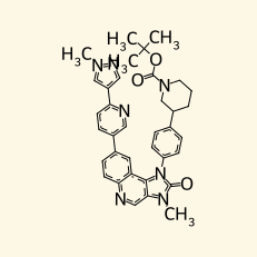 Cn1cc(-c2ccc(-c3ccc4ncc5c(c4c3)n(-c3ccc(C4CCCN(C(=O)OC(C)(C)C)C4)cc3)c(=O)n5C)cn2)cn1